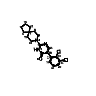 O=c1[nH]c(N2CCC3(CCCC3)CC2)ncc1-c1cccc(Cl)c1Cl